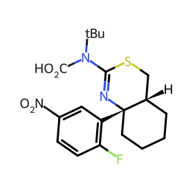 CC(C)(C)N(C(=O)O)C1=N[C@@]2(c3cc([N+](=O)[O-])ccc3F)CCCC[C@H]2CS1